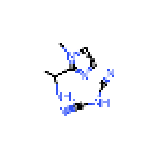 CC(N)c1nccn1C.N#CNC#N